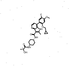 COc1cc(OCC2CC2)c(-c2ccnc3c(C(=O)N[C@H]4CC[C@H](NC(=O)[C@H](C)O)CC4)c(C)[nH]c23)cc1F